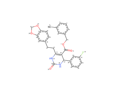 N#Cc1cccc(COC(=O)C2=C(CCc3ccc4c(c3)OCO4)NC(=O)NC2c2cccc(F)c2)c1